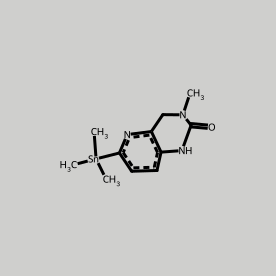 CN1Cc2n[c]([Sn]([CH3])([CH3])[CH3])ccc2NC1=O